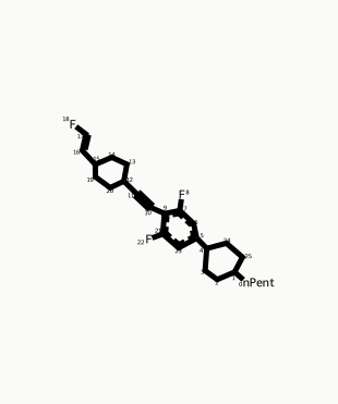 CCCCCC1CCC(c2cc(F)c(C#CC3CCC(/C=C/F)CC3)c(F)c2)CC1